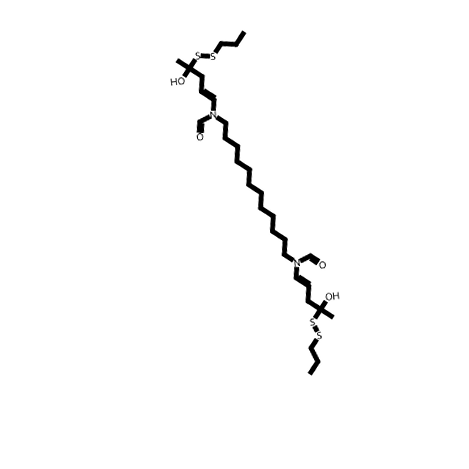 CCCSSC(C)(O)CC=CN(C=O)CCCCCCCCCCCCN(C=O)C=CCC(C)(O)SSCCC